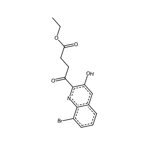 CCOC(=O)CCC(=O)c1nc2c(Br)cccc2cc1O